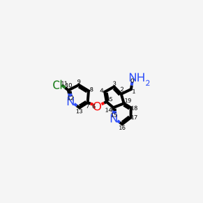 NCc1ccc(Oc2ccc(Cl)nc2)c2ncccc12